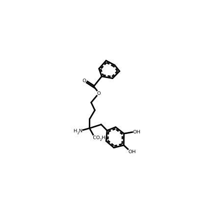 NC(CCCOC(=O)c1ccccc1)(Cc1ccc(O)c(O)c1)C(=O)O